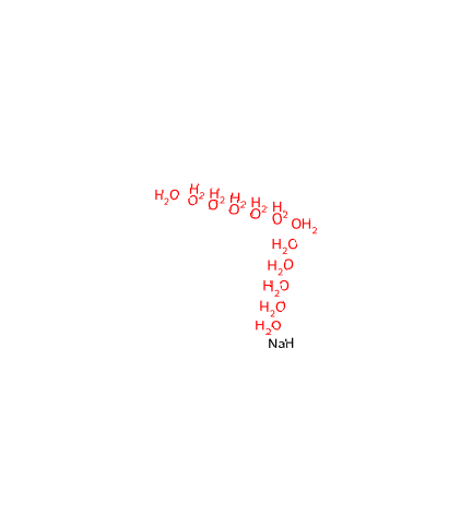 O.O.O.O.O.O.O.O.O.O.O.O.[NaH]